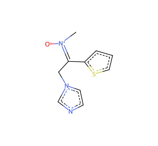 C/[N+]([O-])=C(/Cn1ccnc1)c1cccs1